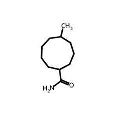 CC1CCCCC(C(N)=O)CCC1